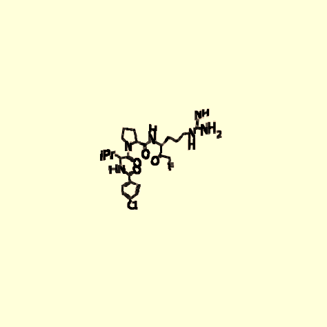 CC(C)C(NC(=O)c1ccc(Cl)cc1)C(=O)N1CCC[C@H]1C(=O)N[C@@H](CCCNC(=N)N)C(=O)CF